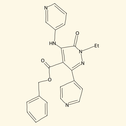 CCn1nc(-c2ccncc2)c(C(=O)OCc2ccccc2)c(Nc2cccnc2)c1=O